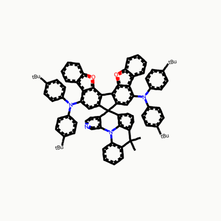 CC(C)(C)c1ccc(N(c2ccc(C(C)(C)C)cc2)c2cc3c(c4oc5ccccc5c24)-c2c(cc(N(c4ccc(C(C)(C)C)cc4)c4ccc(C(C)(C)C)cc4)c4c2oc2ccccc24)C32c3ccncc3N3c4ccccc4C(C)(C)c4cccc2c43)cc1